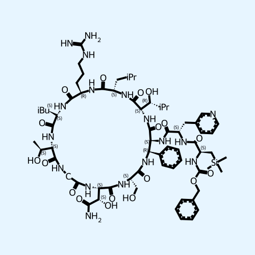 CC[C@H](C)[C@@H]1NC(=O)[C@@H](CCCNC(=N)N)NC(=O)[C@H](CC(C)C)NC(=O)[C@H]([C@H](O)C(C)C)NC(=O)[C@@H](NC(=O)[C@H](Cc2cccnc2)NC(=O)[C@@H](C[Si](C)(C)C)NC(=O)OCc2ccccc2)[C@@H](c2ccccc2)NC(=O)[C@H](CO)NC(=O)[C@H]([C@H](O)C(N)=O)NC(=O)CNC(=O)[C@H]([C@H](C)O)NC1=O